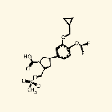 CS(=O)(=O)OC[C@@H]1CC(c2ccc(OC(F)F)c(OCC3CC3)c2)CN1C(=O)O